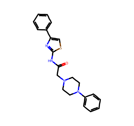 O=C(CN1CCN(c2ccccc2)CC1)Nc1nc(-c2ccccc2)cs1